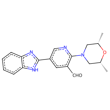 C[C@@H]1CN(c2ncc(-c3nc4ccccc4[nH]3)cc2C=O)C[C@H](C)O1